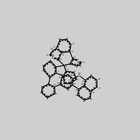 c1ccc(-c2cccc3c2-c2ccccc2C32c3ccccc3-c3cccc4cccc2c34)c(-c2ccc3c(c2)-c2cccc4cccc(c24)O3)c1